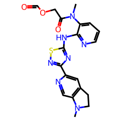 CN1CCc2cc(-c3nsc(Nc4ncccc4N(C)C(=O)COC=O)n3)ncc21